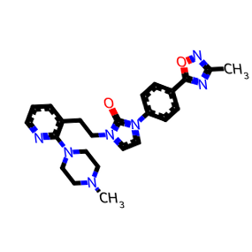 Cc1noc(-c2ccc(-n3ccn(CCc4cccnc4N4CCN(C)CC4)c3=O)cc2)n1